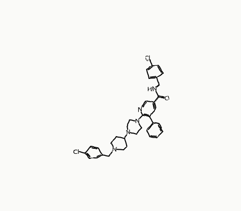 O=C(NCc1ccc(Cl)cc1)c1cnc(N2CCN(C3CCN(Cc4ccc(Cl)cc4)CC3)CC2)c(-c2ccccc2)c1